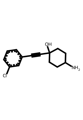 NC1CCC(O)(C#Cc2cccc(Cl)c2)CC1